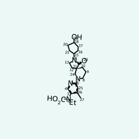 CCN(C(=O)O)c1cnc(N2CCC[C@]3(CCN(C4CCC(O)CC4)C3=O)C2)cc1C